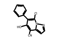 N#Cc1c(O)c(-c2ccccc2)c(Cl)n2nccc12